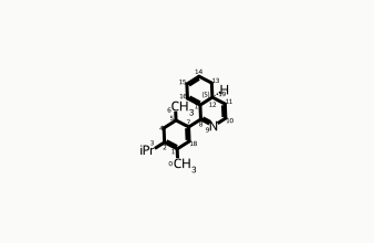 CC1=C(C(C)C)CC(C)C(C2=NC=C[C@@H]3CC=CC=C23)=C1